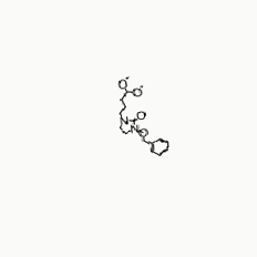 COC(CCCN1CCN(OCc2ccccc2)C1=O)OC